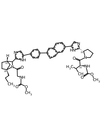 CCC[C@@]12CC[C@@H](C1)C(c1ncc(-c3ccc(-c4ccc5cc(-c6cnc([C@@H]7CCCN7C(=O)[C@@H](NC(=O)OC)C(C)C)[nH]6)ccc5c4)cc3)[nH]1)N2C(=O)CNC(=O)OC